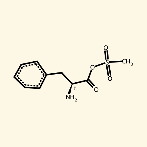 CS(=O)(=O)OC(=O)[C@@H](N)Cc1ccccc1